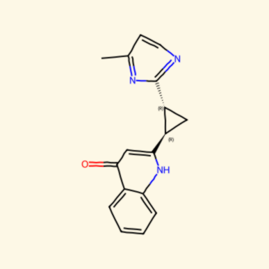 Cc1ccnc([C@@H]2C[C@H]2c2cc(=O)c3ccccc3[nH]2)n1